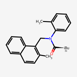 CC[C@H](C)C(=O)N(Cc1c(C)ccc2ccccc12)c1ccccc1C